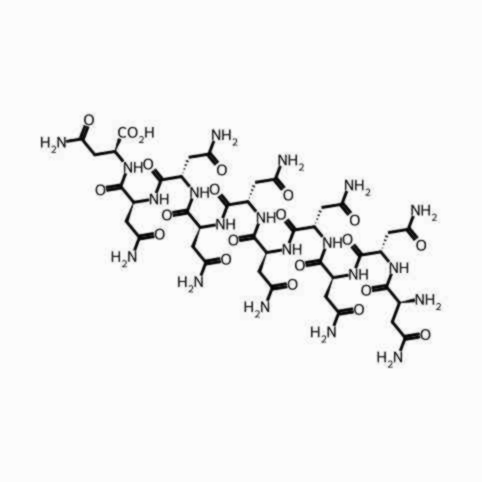 NC(=O)C[C@H](NC(=O)[C@H](CC(N)=O)NC(=O)[C@H](CC(N)=O)NC(=O)[C@H](CC(N)=O)NC(=O)[C@H](CC(N)=O)NC(=O)[C@H](CC(N)=O)NC(=O)[C@H](CC(N)=O)NC(=O)[C@H](CC(N)=O)NC(=O)[C@H](CC(N)=O)NC(=O)[C@@H](N)CC(N)=O)C(=O)O